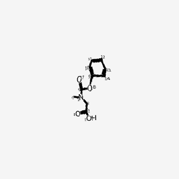 CN(CC(=O)O)C(=O)Oc1ccccc1